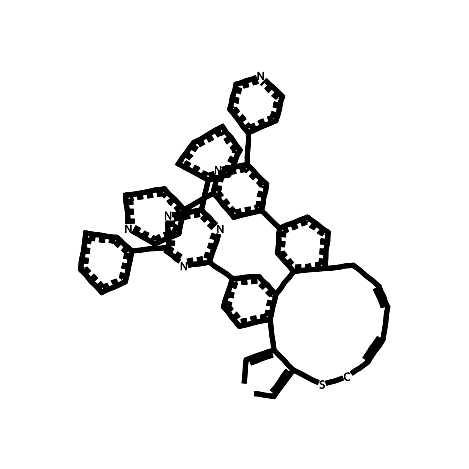 C/C=C1\C(=C/C)SC/C=C\C=C/Cc2ccc(-c3cc(-c4ccncc4)nc(-c4ccncc4)c3)cc2-c2cc(-c3nc(-c4ccccc4)nc(-c4ccccc4)n3)ccc21